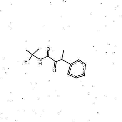 CCC(C)(C)NC(=O)C(=O)C(C)c1ccccc1